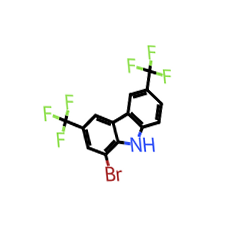 FC(F)(F)c1ccc2[nH]c3c(Br)cc(C(F)(F)F)cc3c2c1